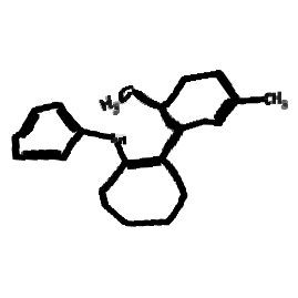 CC1=CC(C2=C(Nc3ccccc3)CCCC2)C(C)CC1